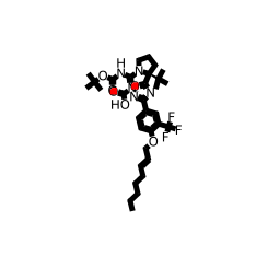 CCCCCC=CCOc1ccc(-c2noc([C@@]3(C(C)(C)C)CCCN3C(=NC(=O)O)NC(=O)OC(C)(C)C)n2)cc1C(F)(F)F